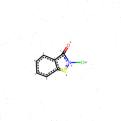 O=c1c2ccccc2sn1Cl